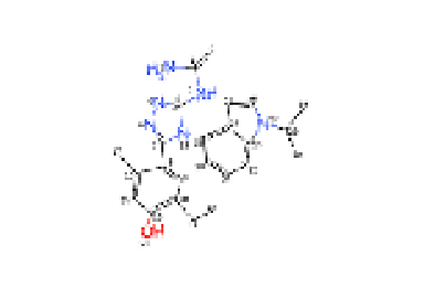 C=C(N)Nc1nnc(-c2cc(CC)c(O)cc2C)n1-c1cccc2c1ccn2C(C)C